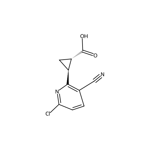 N#Cc1ccc(Cl)nc1[C@H]1C[C@@H]1C(=O)O